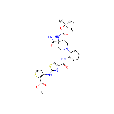 COC(=O)c1sccc1Nc1nc(C(=O)Nc2ccccc2N2CCC(NC(=O)OC(C)(C)C)(C(N)=O)CC2)cs1